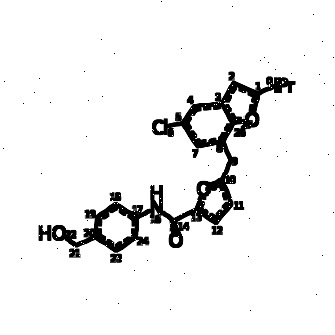 CC(C)c1cc2cc(Cl)cc(Cc3ccc(C(=O)Nc4ccc(CO)cc4)o3)c2o1